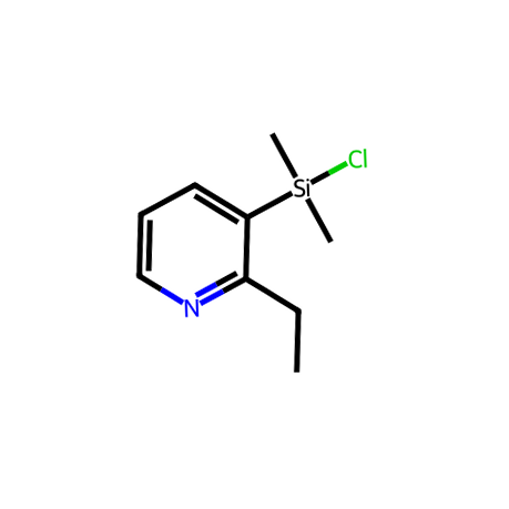 CCc1ncccc1[Si](C)(C)Cl